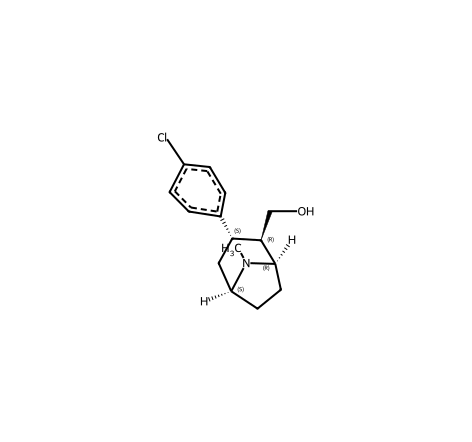 CN1[C@H]2CC[C@@H]1[C@H](CO)[C@@H](c1ccc(Cl)cc1)C2